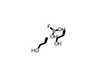 C=CCO.C=CCO.OB(O)F